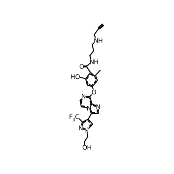 C#CCNCCCNC(=O)c1c(C)cc(Oc2nccn3c(-c4cn(CCO)nc4C(F)(F)F)cnc23)cc1O